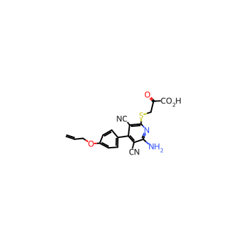 C=CCOc1ccc(-c2c(C#N)c(N)nc(SCC(=O)C(=O)O)c2C#N)cc1